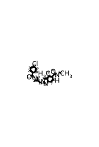 CCNC(=O)c1ccc2nn(CC3CN(C(=O)c4ccc(Cl)cc4)C3)cc2c1C